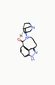 O=C1c2cccc3[nH]nc(c23)CCN1[C@@H]1CN2CCC1CC2